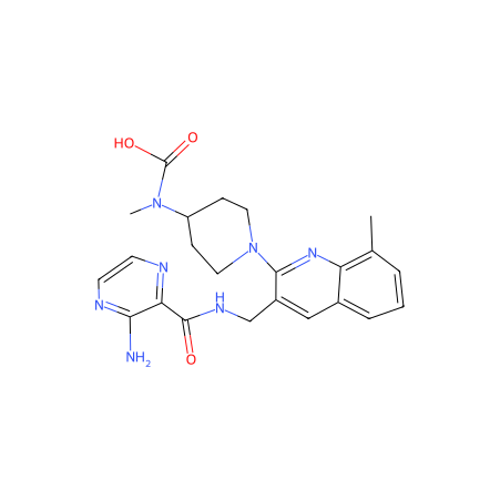 Cc1cccc2cc(CNC(=O)c3nccnc3N)c(N3CCC(N(C)C(=O)O)CC3)nc12